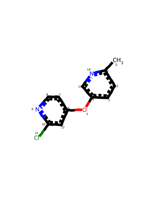 Cc1ccc(Oc2ccnc(Cl)c2)cn1